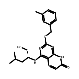 Cc1cccc(COc2nc(N[C@@H](CO)CC(C)C)c3ncc(=O)[nH]c3n2)c1